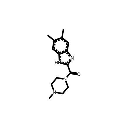 Cc1cc2nc(C(=O)N3CCN(C)CC3)[nH]c2cc1C